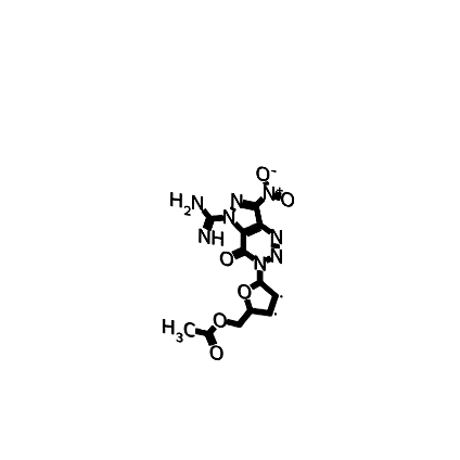 CC(=O)OCC1[CH][CH]C(n2nnc3c([N+](=O)[O-])nn(C(=N)N)c3c2=O)O1